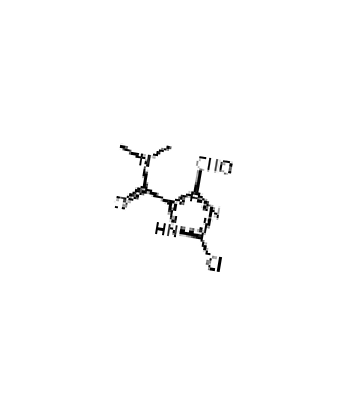 CN(C)C(=O)c1[nH]c(Cl)nc1C=O